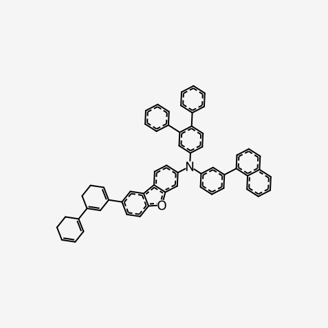 C1=CCCC(C2=CC(c3ccc4oc5cc(N(c6cccc(-c7cccc8ccccc78)c6)c6ccc(-c7ccccc7)c(-c7ccccc7)c6)ccc5c4c3)=CCC2)=C1